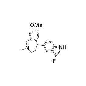 COc1ccc2c(c1)CN(C)CCC2c1ccc2[nH]cc(F)c2c1